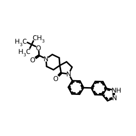 CC(C)(C)OC(=O)N1CCC2(CC1)CCN(c1cccc(-c3ccc4[nH]ncc4c3)c1)C2=O